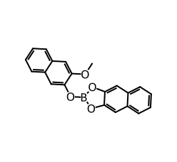 COc1cc2ccccc2cc1OB1Oc2cc3ccccc3cc2O1